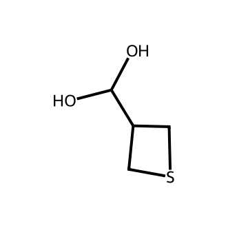 OC(O)C1CSC1